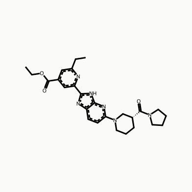 CCOC(=O)c1cc(CC)nc(-c2nc3ccc(N4CCC[C@@H](C(=O)N5CCCC5)C4)nc3[nH]2)c1